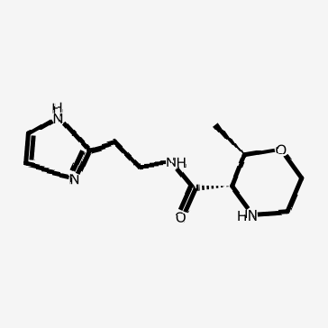 C[C@H]1OCCN[C@@H]1C(=O)NCCc1ncc[nH]1